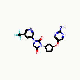 Nc1ncc(O[C@H]2CC[C@H](N3C(=O)CN(c4cncc(C(F)(F)F)c4)C3=O)C2)cn1